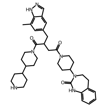 Cc1cc(CC(CC(=O)N2CCC(N3CCc4ccccc4NC3=O)CC2)C(=O)N2CCC(C3CCNCC3)CC2)cc2cn[nH]c12